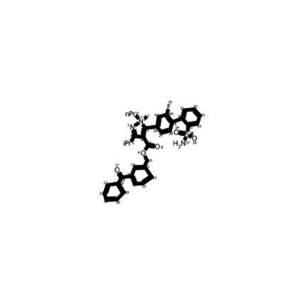 CCC[N+]1(C)N=C(C(C)C)C(C(=O)OCc2cccc(C(=O)c3ccccc3)c2)=C1c1ccc(-c2ccccc2S(N)(=O)=O)c(F)c1